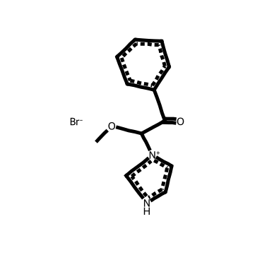 COC(C(=O)c1ccccc1)[n+]1cc[nH]c1.[Br-]